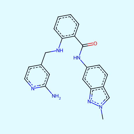 Cn1cc2ccc(NC(=O)c3ccccc3NCc3ccnc(N)c3)cc2n1